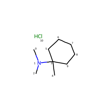 CN(C)C1(C)CCCCC1.Cl